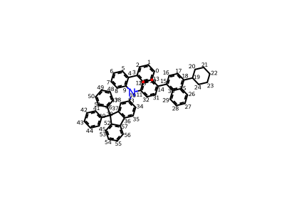 c1ccc(-c2ccccc2N(c2ccc(-c3ccc(C4CCCCC4)c4ccccc34)cc2)c2ccc3c(c2)C(c2ccccc2)(c2ccccc2)c2ccccc2-3)cc1